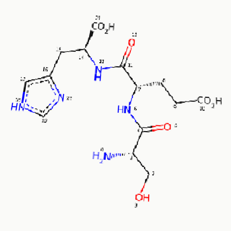 N[C@@H](CO)C(=O)N[C@@H](CCC(=O)O)C(=O)N[C@@H](Cc1c[nH]cn1)C(=O)O